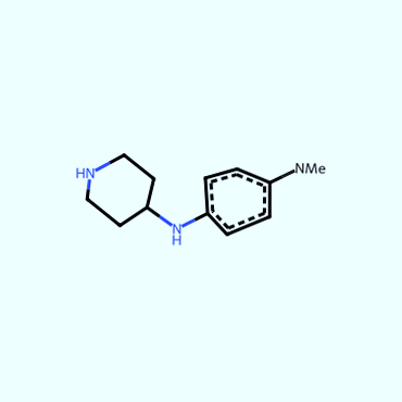 CNc1ccc(NC2CCNCC2)cc1